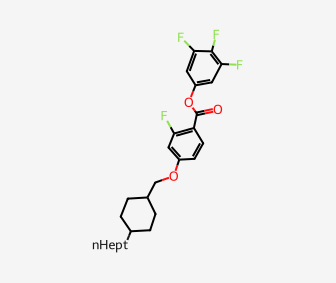 CCCCCCCC1CCC(COc2ccc(C(=O)Oc3cc(F)c(F)c(F)c3)c(F)c2)CC1